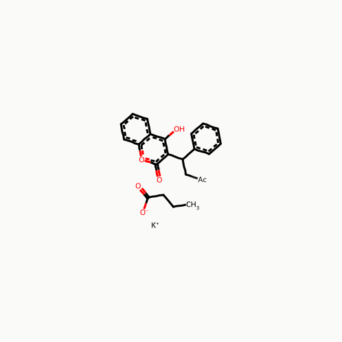 CC(=O)CC(c1ccccc1)c1c(O)c2ccccc2oc1=O.CCCC(=O)[O-].[K+]